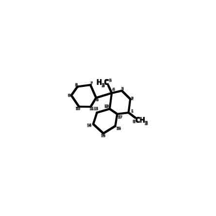 CC1CCC(C)(C2CCCCC2)C2CCCCC12